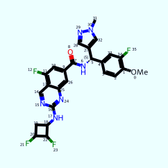 COc1ccc([C@H](NC(=O)c2cc(F)c3cnc(NC4CC(F)C4F)nc3c2)c2cnn(C)c2)cc1F